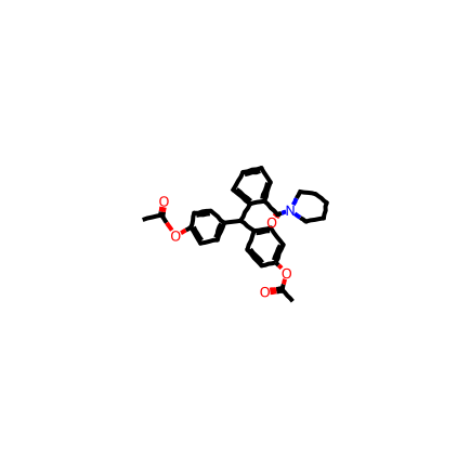 CC(=O)Oc1ccc(C(c2ccc(OC(C)=O)cc2)c2ccccc2C(=O)N2CCCCC2)cc1